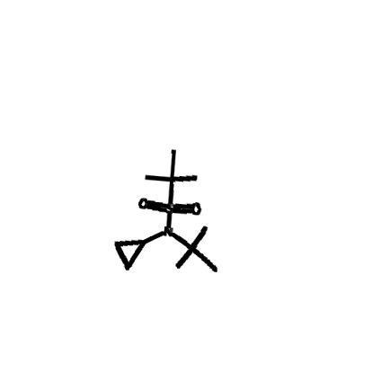 CC(C)(C)N(C1CC1)S(=O)(=O)C(C)(C)C